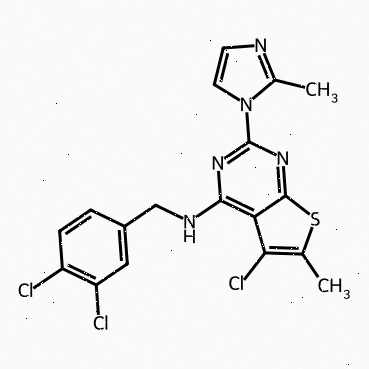 Cc1sc2nc(-n3ccnc3C)nc(NCc3ccc(Cl)c(Cl)c3)c2c1Cl